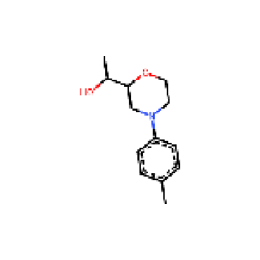 Cc1ccc(N2CCOC(C(C)O)C2)cc1